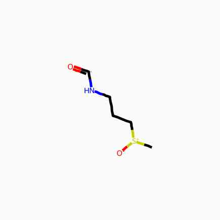 C[S+]([O-])CCCN[C]=O